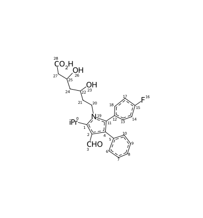 CC(C)c1c(C=O)c(-c2ccccc2)c(-c2ccc(F)cc2)n1CCC(O)CC(O)CC(=O)O